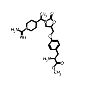 COC(=O)C(N)Cc1ccc(OCC2CN(C(C)C3CCN(C(=N)N)CC3)C(=O)O2)cc1